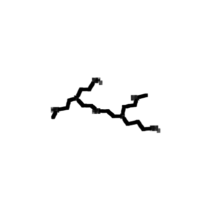 CNCCN(CCN)CCNCCN(CCCN)CCNC